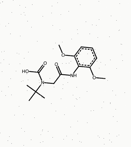 COc1cccc(OC)c1NC(=O)CN(C(=O)O)C(C)(C)C